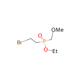 CCOP(=O)(CCBr)COC